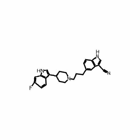 N#Cc1c[nH]c2ccc(CCCN3CCC(c4c[nH]c5cc(F)ccc45)CC3)cc12